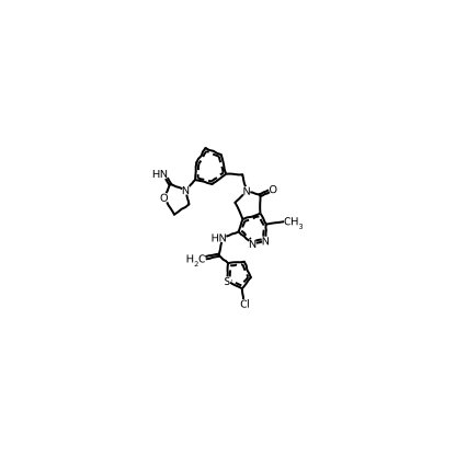 C=C(Nc1nnc(C)c2c1CN(Cc1cccc(N3CCOC3=N)c1)C2=O)c1ccc(Cl)s1